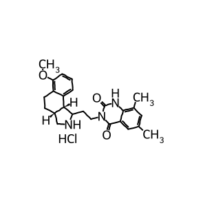 COc1cccc2c1CC[C@H]1CNC(CCn3c(=O)[nH]c4c(C)cc(C)cc4c3=O)[C@@H]21.Cl